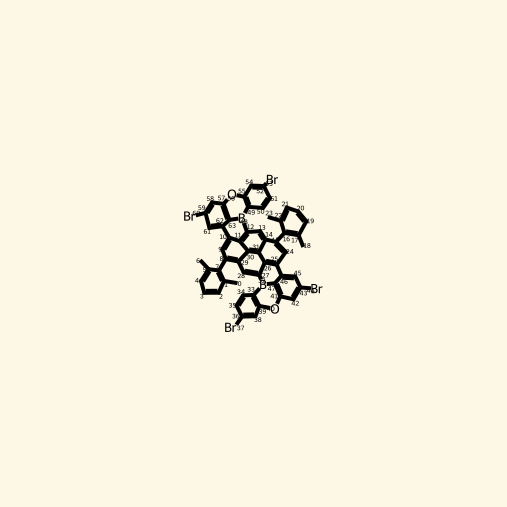 Cc1cccc(C)c1-c1cc2c3c(cc4c(-c5c(C)cccc5C)cc5c6c(cc1c3c46)B1c3ccc(Br)cc3Oc3cc(Br)cc-5c31)B1c3ccc(Br)cc3Oc3cc(Br)cc-2c31